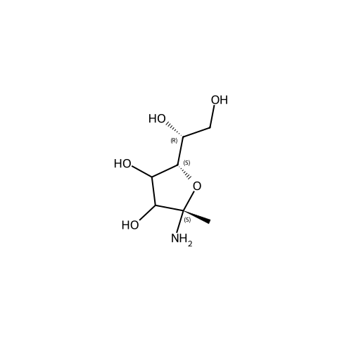 C[C@]1(N)O[C@@H]([C@H](O)CO)C(O)C1O